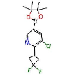 CC1(C)OB(c2cnc(C3CC(F)(F)C3)c(Cl)c2)OC1(C)C